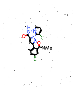 CNC(=O)c1cc(Cl)cc(C)c1-c1cc(C(N)=O)n(-c2ncccc2Cl)n1